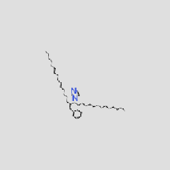 CCCCCCCCCCCCCCCC(Cc1ccccc1)C(CCCCCCCCCCCCC)n1ccnc1